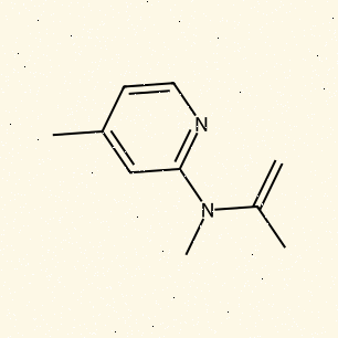 C=C(C)N(C)c1cc(C)ccn1